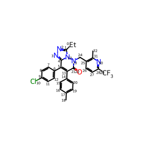 CCc1nnc2c(-c3ccc(Cl)cc3)c(-c3ccc(C)cc3)c(=O)n(Cc3ccc(C(F)(F)F)nc3C)n12